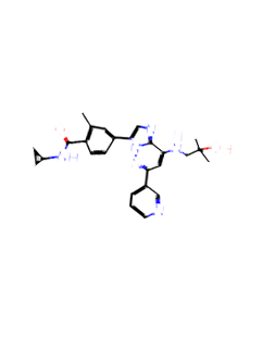 Cc1cc(-c2cnc3c(NCC(C)(C)O)cc(-c4cccnc4)nn23)ccc1C(=O)NC1CC1